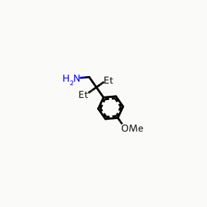 CCC(CC)(CN)c1ccc(OC)cc1